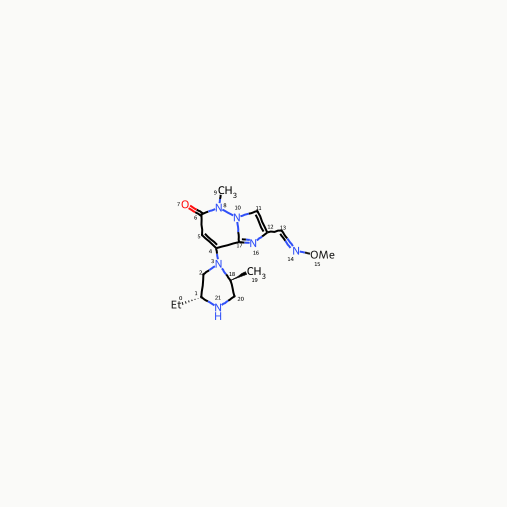 CC[C@@H]1CN(c2cc(=O)n(C)n3cc(C=NOC)nc23)[C@@H](C)CN1